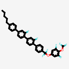 CCCCCc1ccc(-c2ccc(-c3ccc(-c4ccc(C(F)(F)Oc5cc(F)c(OC(F)F)c(F)c5)cc4)c(F)c3)c(F)c2)cc1